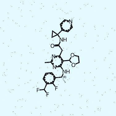 Cc1nc(CC(=O)NC2(c3ccncc3)CC2)c(C2OCCO2)c(N[C@H](C)c2cccc(C(F)F)c2F)n1